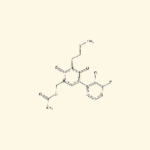 CSCCn1c(=O)c(-c2cccc(F)c2Cl)cn(COC(C)=O)c1=O